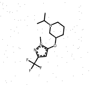 CC(C)N1CCCC(Oc2cc(C(F)(F)F)nn2C)C1